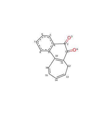 O=C1C(=O)c2ccccc2C2=C1CC=CC=C2